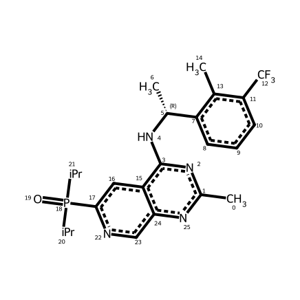 Cc1nc(N[C@H](C)c2cccc(C(F)(F)F)c2C)c2cc(P(=O)(C(C)C)C(C)C)ncc2n1